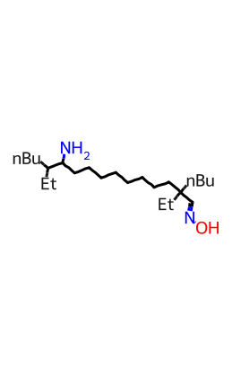 CCCCC(CC)C(N)CCCCCCCCC(C=NO)(CC)CCCC